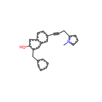 Cn1cccc1CC#Cc1ccc2cc(O)c(Cc3ccccc3)cc2c1